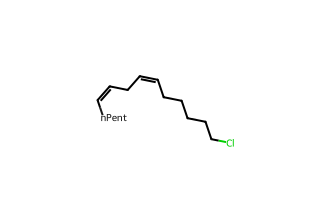 CCCCC/C=C\C/C=C\CCCCCCl